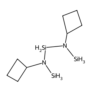 [SiH3]N([SiH2]N([SiH3])C1CCC1)C1CCC1